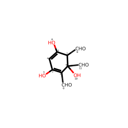 O=CC1=C(O)C=C(O)C(C=O)C1(O)C=O